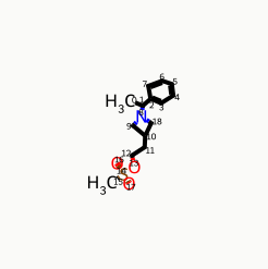 CC(c1ccccc1)N1CC(CCOS(C)(=O)=O)C1